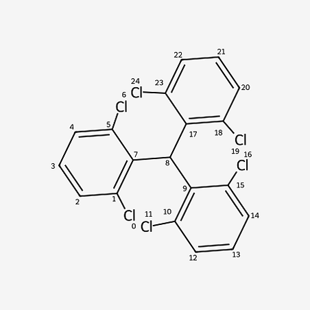 Clc1cccc(Cl)c1C(c1c(Cl)cccc1Cl)c1c(Cl)cccc1Cl